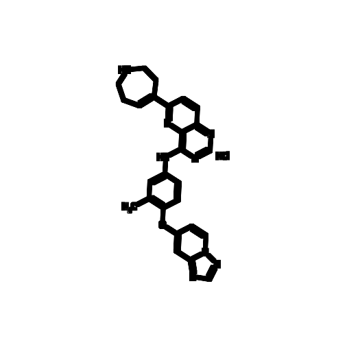 Cc1cc(Nc2ncnc3ccc(C4=CCCNCC4)nc23)ccc1Oc1ccn2ncnc2c1.Cl